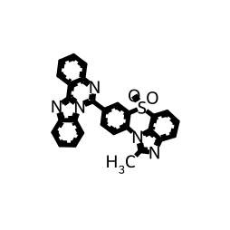 Cc1nc2cccc3c2n1-c1ccc(-c2nc4ccccc4c4nc5ccccc5n24)cc1S3(=O)=O